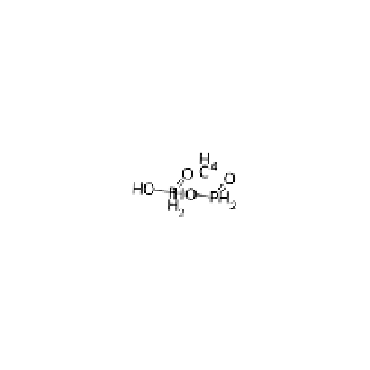 C.O=[PH2]O.O=[PH2]O